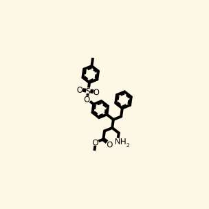 COC(=O)CC(CN)C(Cc1ccccc1)c1ccc(OS(=O)(=O)c2ccc(C)cc2)cc1